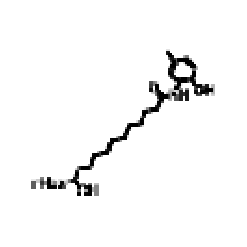 CCCCCCC(O)CCCCCCCCCCC(=O)Nc1cc(C)ccc1O